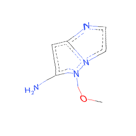 COn1c(N)cc2nccn21